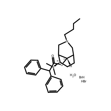 Br.Br.CCCCN1CC2CC[C@@H](N(C)C)C(C1)[C@H]2OC(=O)C(c1ccccc1)c1ccccc1.O